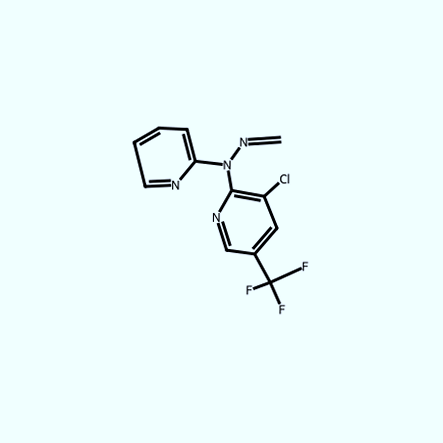 C=NN(c1ccccn1)c1ncc(C(F)(F)F)cc1Cl